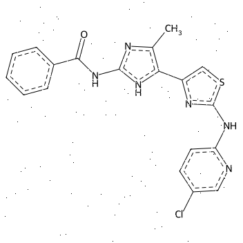 Cc1nc(NC(=O)c2ccccc2)[nH]c1-c1csc(Nc2ccc(Cl)cn2)n1